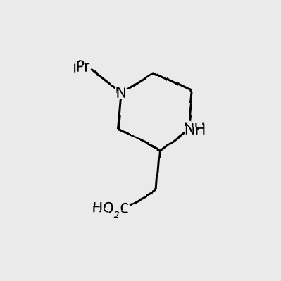 CC(C)N1CCNC(CC(=O)O)C1